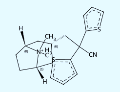 C[N+]1(C)[C@@H]2CC[C@H]1C[C@@H](CC(C#N)(c1cccs1)c1cccs1)C2